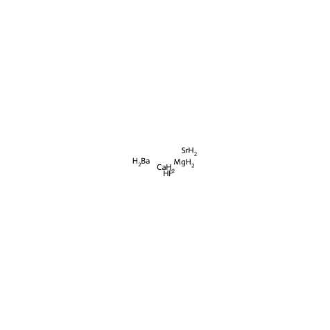 F.[BaH2].[CaH2].[MgH2].[SrH2]